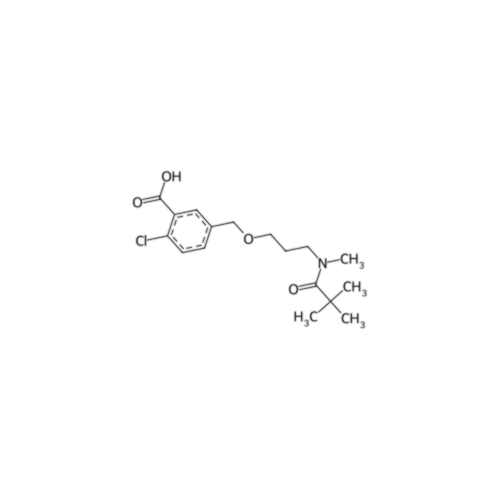 CN(CCCOCc1ccc(Cl)c(C(=O)O)c1)C(=O)C(C)(C)C